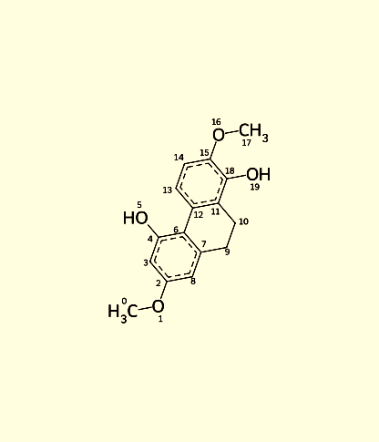 COc1cc(O)c2c(c1)CCc1c-2ccc(OC)c1O